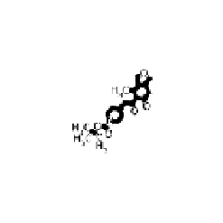 CC1=C2COC=C2CC(=O)C1C(=O)C=C1CCN(C(=O)OC(C)(C)C)CC1